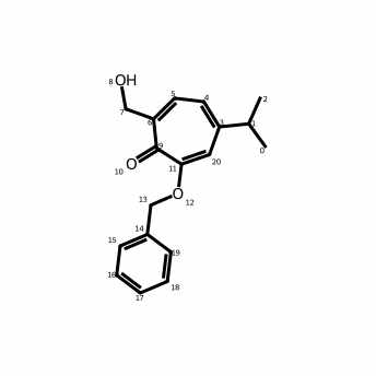 CC(C)c1ccc(CO)c(=O)c(OCc2ccccc2)c1